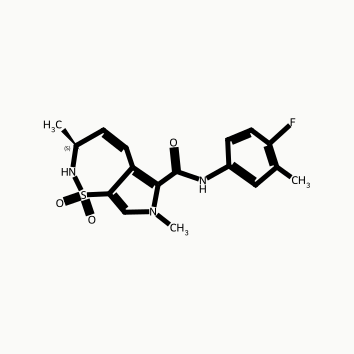 Cc1cc(NC(=O)c2c3c(cn2C)S(=O)(=O)N[C@@H](C)C=C3)ccc1F